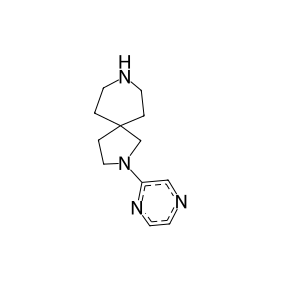 c1cnc(N2CCC3(CCNCC3)C2)cn1